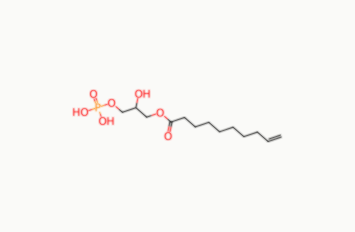 C=CCCCCCCCC(=O)OCC(O)COP(=O)(O)O